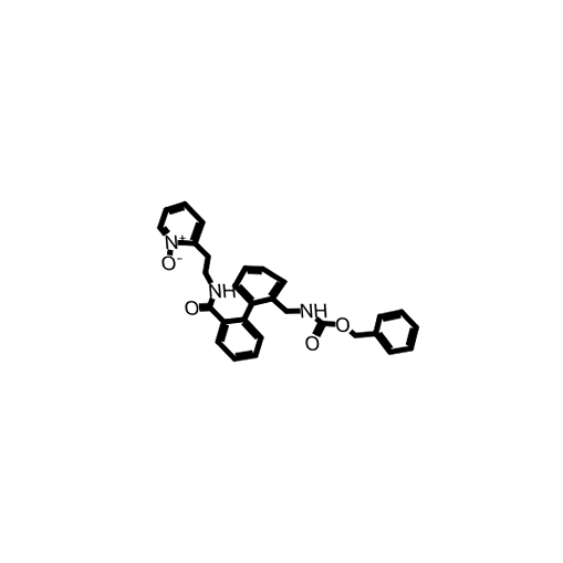 O=C(NCc1ccccc1-c1ccccc1C(=O)NCCc1cccc[n+]1[O-])OCc1ccccc1